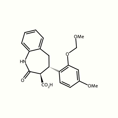 COCOc1cc(OC)ccc1[C@H]1Cc2ccccc2NC(=O)[C@@H]1C(=O)O